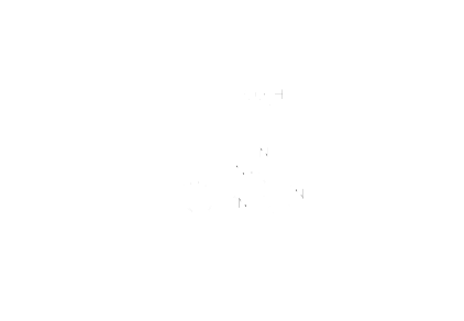 O=C(O)CC1CCCN(c2nc(-c3cc(F)c(F)cc3F)nc3ccncc23)C1